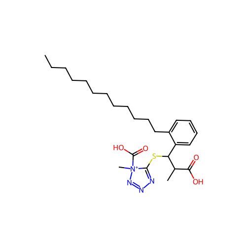 CCCCCCCCCCCCc1ccccc1C(SC1=NN=N[N+]1(C)C(=O)O)C(C)C(=O)O